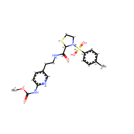 CC(C)(C)OC(=O)Nc1ccc(CCNC(=O)C2SCCN2S(=O)(=O)c2ccc(C(C)(C)C)cc2)cn1